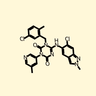 Cc1cncc(-n2c(=O)nc(Nc3cc4cn(C)nc4cc3Cl)n(Cc3cc(Cl)ccc3C)c2=O)c1